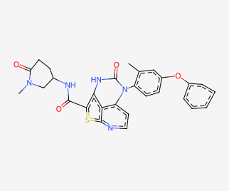 Cc1cc(Oc2ccccc2)ccc1N1C(=O)Nc2c(C(=O)NC3CCC(=O)N(C)C3)sc3nccc1c23